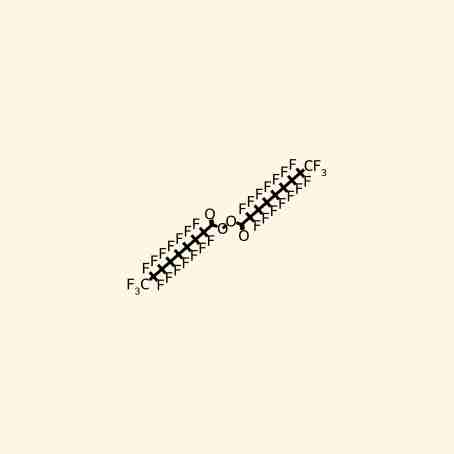 O=C(OOC(=O)C(F)(F)C(F)(F)C(F)(F)C(F)(F)C(F)(F)C(F)(F)C(F)(F)C(F)(F)F)C(F)(F)C(F)(F)C(F)(F)C(F)(F)C(F)(F)C(F)(F)C(F)(F)C(F)(F)F